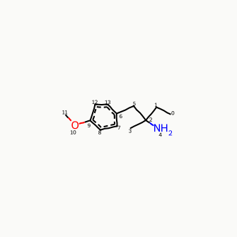 CCC(C)(N)Cc1ccc(OC)cc1